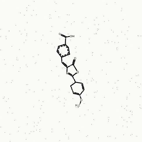 COC1=CCC(C2=N/C(=C/c3ccc(C(=O)O)cc3)C(=O)O2)C=C1